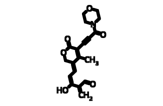 C=C(C=O)/C(O)=C\C=C1/COC(=O)C(C#CC(=O)N2CCOCC2)=C1C